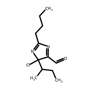 CCCCC1=NC(Cl)(C(C)CC)C(C=O)=N1